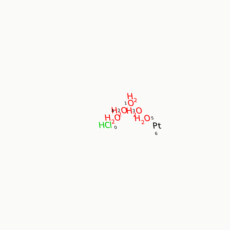 Cl.O.O.O.O.O.[Pt]